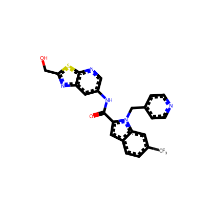 O=C(Nc1cnc2sc(CO)nc2c1)c1cc2ccc(C(F)(F)F)cc2n1Cc1ccncc1